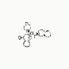 CC(OC1(N2CCOCC2)CC(=O)c2ccccc2O1)N1CCc2ccccc2C1